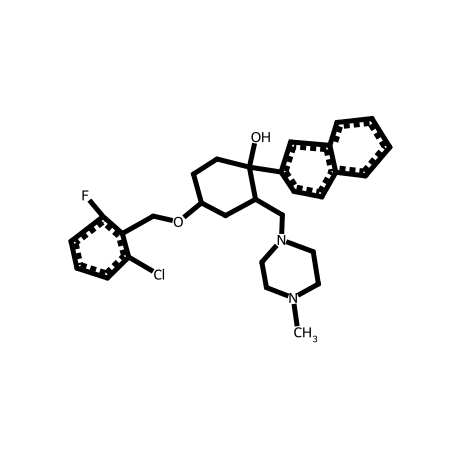 CN1CCN(CC2CC(OCc3c(F)cccc3Cl)CCC2(O)c2ccc3ccccc3c2)CC1